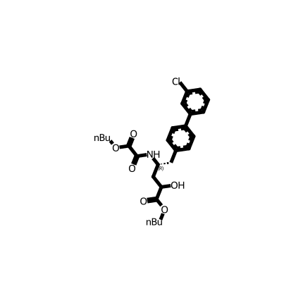 CCCCOC(=O)C(=O)N[C@H](Cc1ccc(-c2cccc(Cl)c2)cc1)CC(O)C(=O)OCCCC